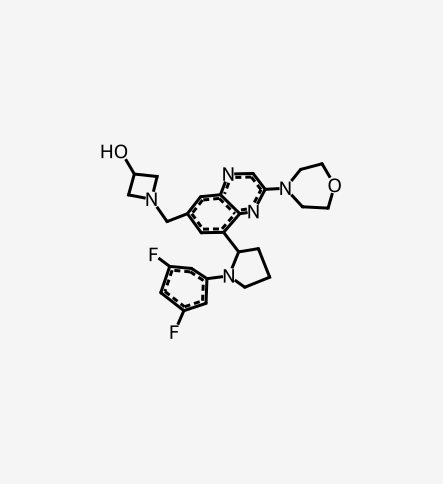 OC1CN(Cc2cc(C3CCCN3c3cc(F)cc(F)c3)c3nc(N4CCOCC4)cnc3c2)C1